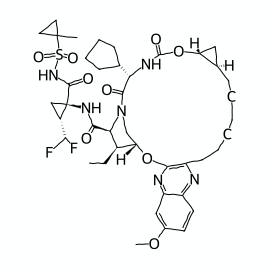 CC[C@@H]1[C@@H]2CN(C(=O)[C@H](C3CCCC3)NC(=O)O[C@@H]3C[C@H]3CCCCCCc3nc4ccc(OC)cc4nc3O2)[C@@H]1C(=O)N[C@]1(C(=O)NS(=O)(=O)C2(C)CC2)C[C@H]1C(F)F